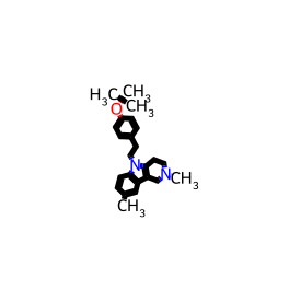 Cc1ccc2c(c1)c1c(n2CCc2ccc(OC(C)(C)C)cc2)CCN(C)C1